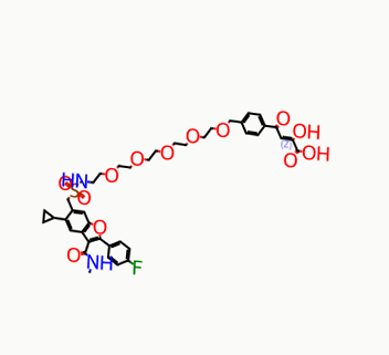 CNC(=O)c1c(-c2ccc(F)cc2)oc2cc(CS(=O)(=O)NCCOCCOCCOCCOCCOCc3ccc(C(=O)/C=C(\O)C(=O)O)cc3)c(C3CC3)cc12